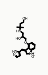 CC(C)(CCO)NCC(O)COc1cccc2c1C(=Cc1ccn[nH]1)C[NH+]2[O-]